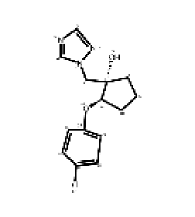 O[C@]1(Cn2cncn2)CCC[C@H]1Oc1ccc(Cl)cc1